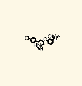 COc1c(Cl)cccc1OC(CCc1ccc(Cl)cc1)Cc1ncc[nH]1